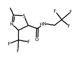 CC1=NC(C(F)(F)F)C(C(=O)NCC(F)(F)F)S1